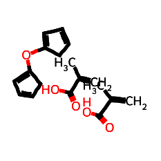 C1=CCC(OC2=CC=CC2)=C1.C=C(C)C(=O)O.C=C(C)C(=O)O